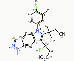 Cc1cc(-n2c(C(C)(C)CC#N)c(C(F)(F)CC(=O)O)c3cc4[nH]ncc4cc32)ccc1F